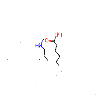 CCCCCC(=O)O.CCCNC